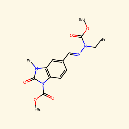 CCn1c(=O)n(C(=O)OC(C)(C)C)c2ccc(/C=N/N(CC(C)C)C(=O)OC(C)(C)C)cc21